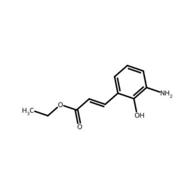 CCOC(=O)C=Cc1cccc(N)c1O